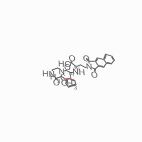 CC(C)C[C@H](N[C@H](CCN1C(=O)c2cc3ccccc3cc2C1=O)C(=O)O)C(=O)N1CCNC(=O)C1c1ccccc1